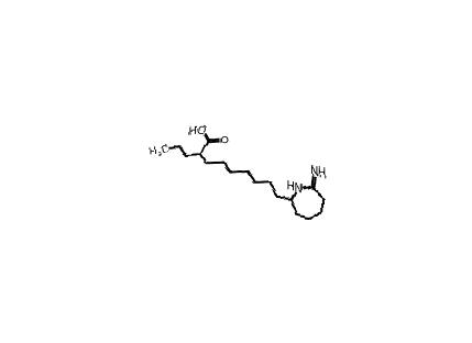 CCCC(CCCCCCCC1CCCCC(=N)N1)C(=O)O